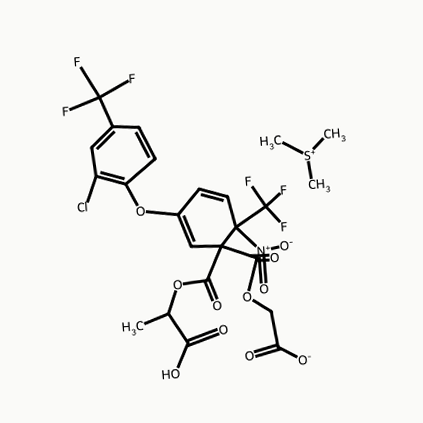 CC(OC(=O)C1(C(=O)OCC(=O)[O-])C=C(Oc2ccc(C(F)(F)F)cc2Cl)C=CC1([N+](=O)[O-])C(F)(F)F)C(=O)O.C[S+](C)C